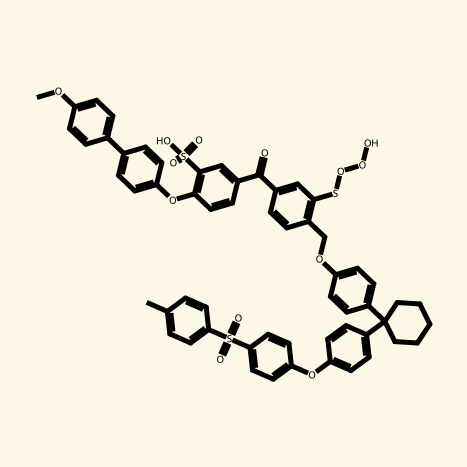 COc1ccc(-c2ccc(Oc3ccc(C(=O)c4ccc(COc5ccc(C6(c7ccc(Oc8ccc(S(=O)(=O)c9ccc(C)cc9)cc8)cc7)CCCCC6)cc5)c(SOOO)c4)cc3S(=O)(=O)O)cc2)cc1